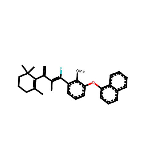 C=C(C1=C(C)CCCC1(C)C)/C(C)=C(\F)c1cccc(Oc2cccc3ccccc23)c1OC